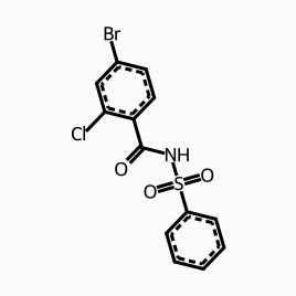 O=C(NS(=O)(=O)c1ccccc1)c1ccc(Br)cc1Cl